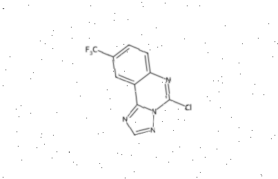 FC(F)(F)c1ccc2nc(Cl)n3ncnc3c2c1